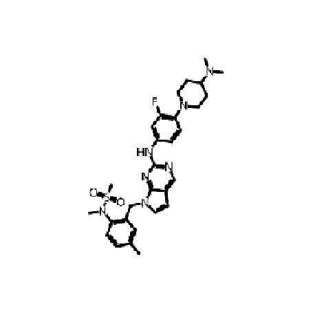 Cc1ccc(N(C)S(C)(=O)=O)c(Cn2ccc3cnc(Nc4ccc(N5CCC(N(C)C)CC5)c(F)c4)nc32)c1